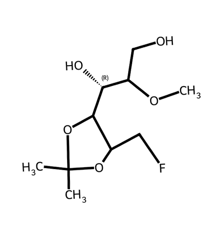 COC(CO)[C@@H](O)C1OC(C)(C)OC1CF